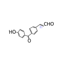 O=C/C=C/c1ccc(C(=O)c2ccc(O)cc2)cc1